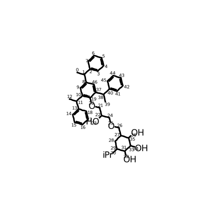 CC(c1ccccc1)c1cc(C(C)c2ccccc2)c(OCC(O)COCC2CC(C(C)C)C(O)C(O)C2O)c(C(C)c2ccccc2)c1